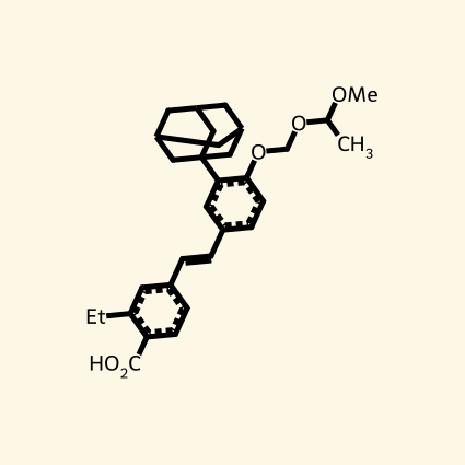 CCc1cc(C=Cc2ccc(OCOC(C)OC)c(C34CC5CC(CC(C5)C3)C4)c2)ccc1C(=O)O